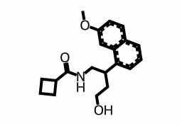 COc1ccc2cccc(C(CCO)CNC(=O)C3CCC3)c2c1